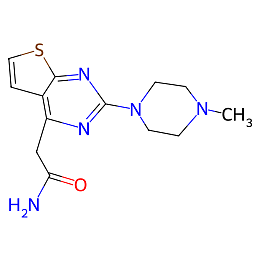 CN1CCN(c2nc(CC(N)=O)c3ccsc3n2)CC1